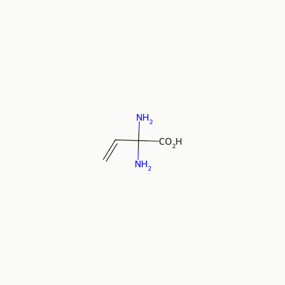 C=CC(N)(N)C(=O)O